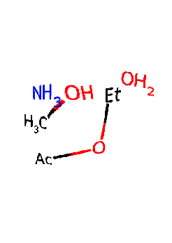 CCOC(C)=O.CO.N.O